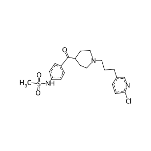 CS(=O)(=O)Nc1ccc(C(=O)C2CCN(CCCc3ccc(Cl)nc3)CC2)cc1